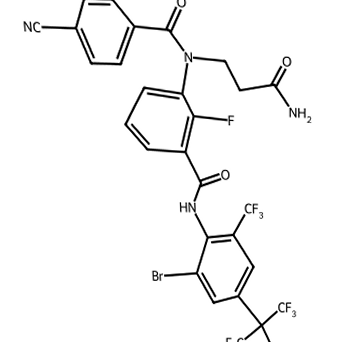 N#Cc1ccc(C(=O)N(CCC(N)=O)c2cccc(C(=O)Nc3c(Br)cc(C(F)(C(F)(F)F)C(F)(F)F)cc3C(F)(F)F)c2F)cc1